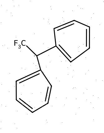 FC(F)(F)[C](c1ccccc1)c1ccccc1